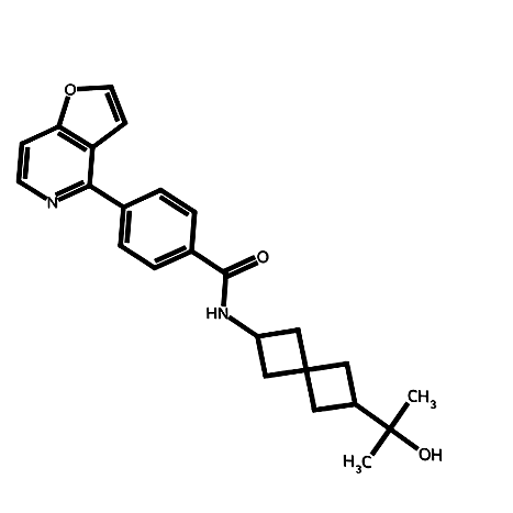 CC(C)(O)C1CC2(CC(NC(=O)c3ccc(-c4nccc5occc45)cc3)C2)C1